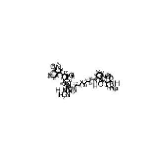 COc1cc(-c2cn(C)c(=O)c3cnccc23)cc(OC)c1CN1CC(N)(C(N)=O)C1CCCCCCCCNc1cccc2c1C(=O)N(C1CCC(=O)NC1=O)C2=O